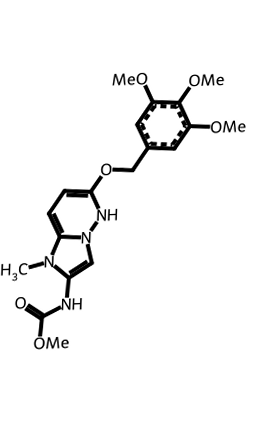 COC(=O)NC1=CN2NC(OCc3cc(OC)c(OC)c(OC)c3)=CC=C2N1C